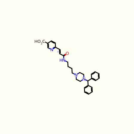 O=C(/C=C/c1ccc(C(=O)O)cn1)NCCCCN1CCN(C(c2ccccc2)c2ccccc2)CC1